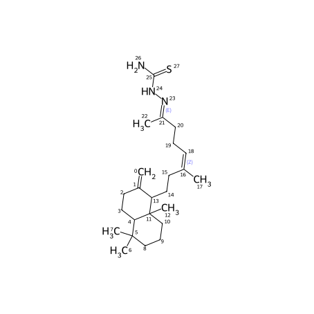 C=C1CCC2C(C)(C)CCCC2(C)C1CC/C(C)=C\CC/C(C)=N/NC(N)=S